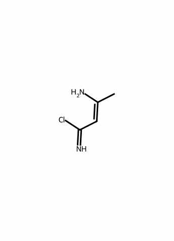 C/C(N)=C/C(=N)Cl